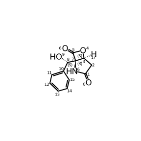 O=C1C[C@@H]2OC(=O)[C@]2([C@@H](O)c2ccccc2)N1